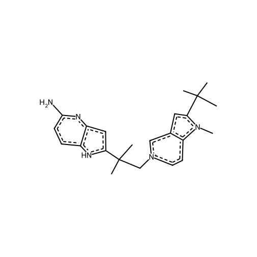 Cn1c(C(C)(C)C)cc2c[n+](CC(C)(C)c3cc4nc(N)ccc4[nH]3)ccc21